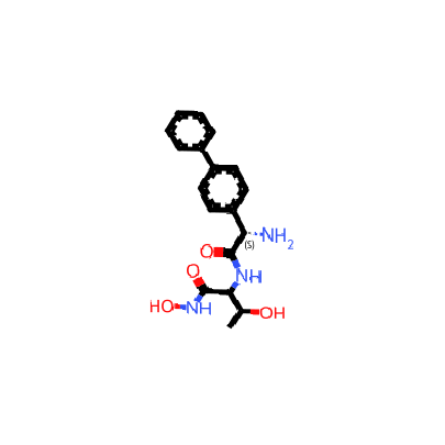 CC(O)C(NC(=O)[C@@H](N)c1ccc(-c2ccccc2)cc1)C(=O)NO